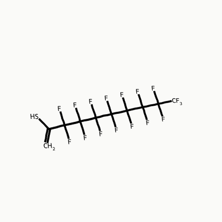 C=C(S)C(F)(F)C(F)(F)C(F)(F)C(F)(F)C(F)(F)C(F)(F)C(F)(F)C(F)(F)F